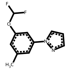 Cc1cc(OC(F)F)cc(-n2cccn2)c1